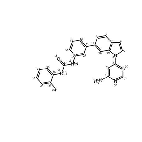 Nc1cc(-n2ccc3ccc(-c4cccc(NC(=O)Nc5ccccc5F)c4)cc32)ncn1